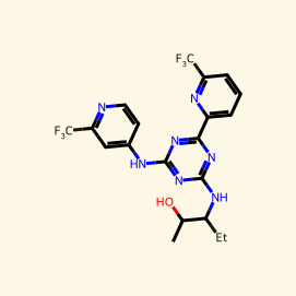 CCC(Nc1nc(Nc2ccnc(C(F)(F)F)c2)nc(-c2cccc(C(F)(F)F)n2)n1)C(C)O